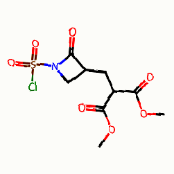 COC(=O)C(CC1CN(S(=O)(=O)Cl)C1=O)C(=O)OC